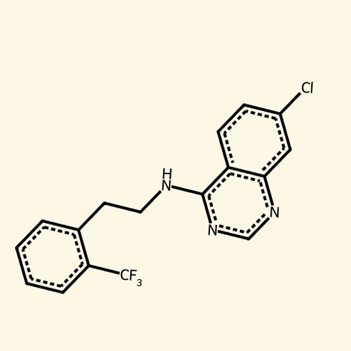 FC(F)(F)c1ccccc1CCNc1ncnc2cc(Cl)ccc12